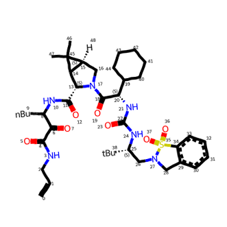 C=CCNC(=O)C(=O)C(CCCC)NC(=O)[C@@H]1C2[C@H](CN1C(=O)[C@@H](NC(=O)N[C@H](CN1Cc3ccccc3S1(=O)=O)C(C)(C)C)C1CCCCC1)C2(C)C